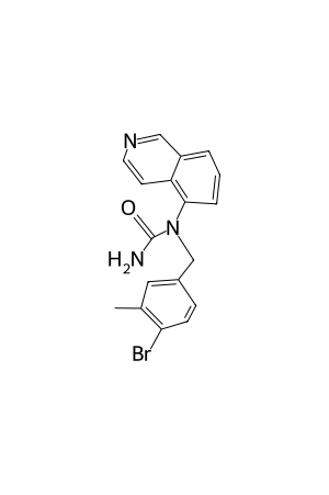 Cc1cc(CN(C(N)=O)c2cccc3cnccc23)ccc1Br